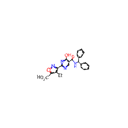 CCc1c(-c2ncc(C(=O)NC(c3ccccc3)c3ccccc3)c(O)n2)noc1C(=O)O